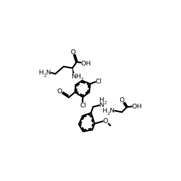 COc1ccccc1CN.NCC(=O)O.NCC[C@H](N)C(=O)O.O=Cc1ccc(Cl)cc1Cl